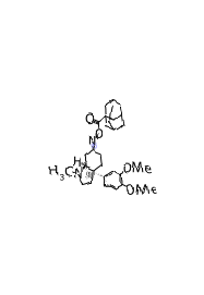 COc1ccc([C@@]23CC/C(=N\OC(=O)C45CC6CC(CC(C6)C4)C5)C[C@@H]2N(C)CC3)cc1OC